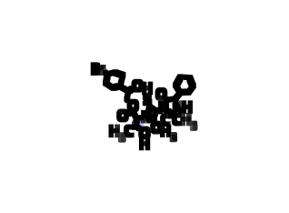 C/C(O)=C(\C(=O)OCC(=O)c1ccc(Br)cc1)N1C(=O)C(N2C(=O)C(c3ccccc3)NC2(C)C)C1S